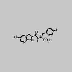 O=C(N[C@@H](Cc1ccc(F)cc1)C(=O)O)C1Cc2cc(Cl)cnc2N1